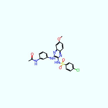 COc1ccc2nc(NS(=O)(=O)c3ccc(Cl)cc3)c(Nc3cccc(NC(C)=O)c3)nc2c1